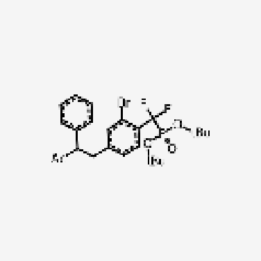 CC(=O)C(Cc1ccc(C(F)(F)P(=O)(OC(C)(C)C)OC(C)(C)C)c(Br)c1)c1ccccc1